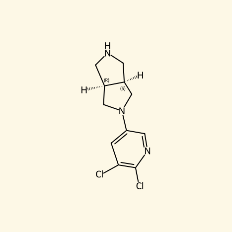 Clc1cc(N2C[C@H]3CNC[C@H]3C2)cnc1Cl